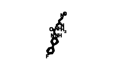 N[C@H](CCN=O)CNC(=O)c1nc2cc(-c3ccc(F)cc3)ccc2[nH]1